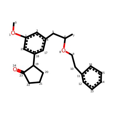 COc1cc(CC(C)OCCc2ccccc2)cc(C2CCCC2=O)c1